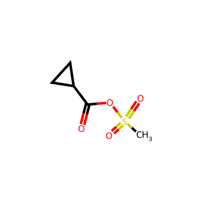 CS(=O)(=O)OC(=O)C1CC1